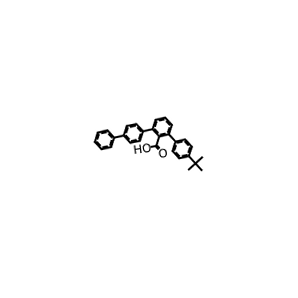 CC(C)(C)c1ccc(-c2cccc(-c3ccc(-c4ccccc4)cc3)c2C(=O)O)cc1